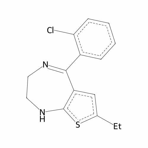 CCc1cc2c(s1)NCCN=C2c1ccccc1Cl